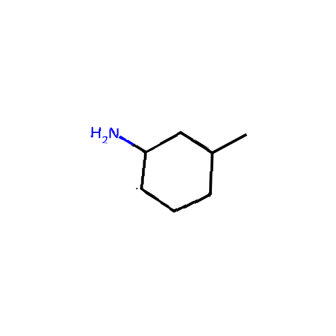 CC1CC[CH]C(N)C1